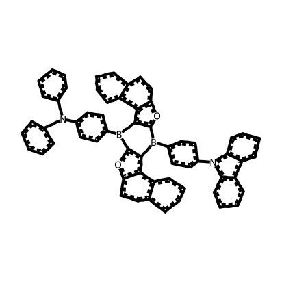 c1ccc(N(c2ccccc2)c2ccc(B3c4oc5ccc6ccccc6c5c4B(c4ccc(-n5c6ccccc6c6ccccc65)cc4)c4oc5ccc6ccccc6c5c43)cc2)cc1